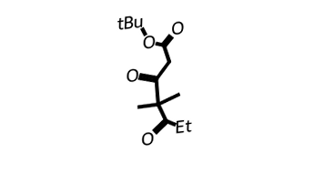 CCC(=O)C(C)(C)C(=O)CC(=O)OC(C)(C)C